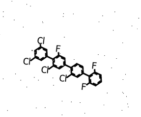 Fc1cccc(F)c1-c1ccc(-c2cc(F)c(-c3cc(Cl)[c]c(Cl)c3)c(Cl)c2)c(Cl)c1